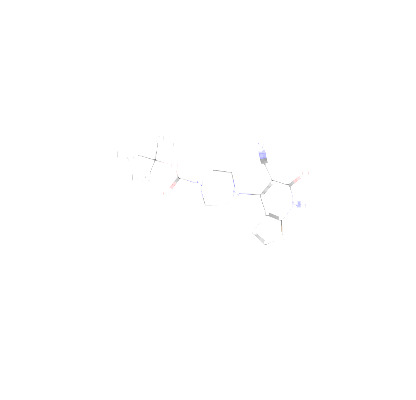 CC(C)(C)OC(=O)N1CCN(c2c(C#N)c(=O)[nH]c3sccc23)CC1